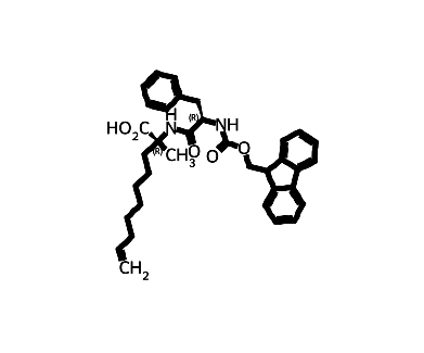 C=CCCCCCC[C@@](C)(NC(=O)[C@@H](Cc1ccccc1)NC(=O)OCC1c2ccccc2-c2ccccc21)C(=O)O